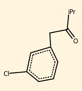 CC(C)C(=O)Cc1cccc(Cl)c1